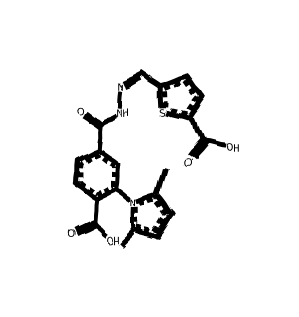 Cc1ccc(C)n1-c1cc(C(=O)N/N=C\c2ccc(C(=O)O)s2)ccc1C(=O)O